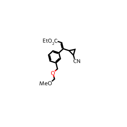 CCOC(=O)/C=C(\c1cccc(COCOC)c1)C1CC1C#N